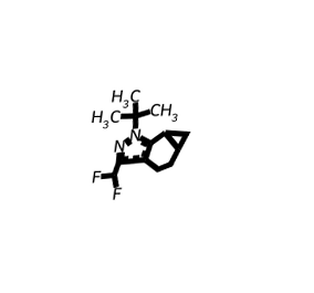 CC(C)(C)n1nc(C(F)F)c2c1C1CC1CC2